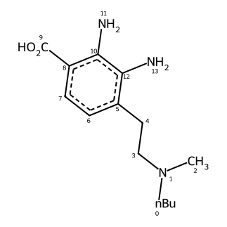 CCCCN(C)CCc1ccc(C(=O)O)c(N)c1N